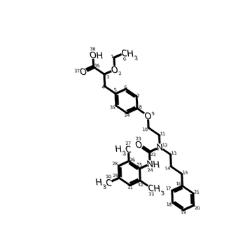 CCOC(Cc1ccc(OCCN(CCCc2ccccc2)C(=O)Nc2c(C)cc(C)cc2C)cc1)C(=O)O